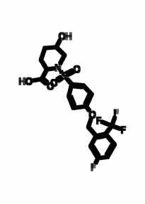 O=C(O)C1CCC(O)CN1S(=O)(=O)c1ccc(OCc2cc(F)ccc2C(F)(F)F)cc1